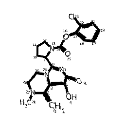 C=C1c2c(O)c(=O)nc(C3CCCN3C(=O)Oc3ccccc3Cl)n2CCN1C